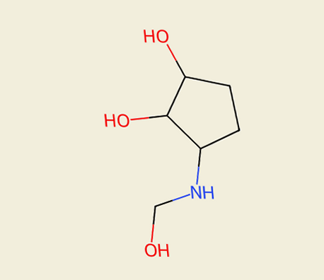 OCNC1CCC(O)C1O